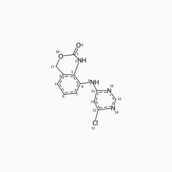 O=C1Nc2c(cccc2Nc2cc(Cl)ncn2)CO1